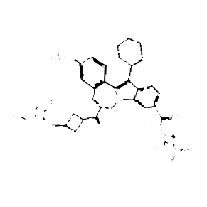 COc1ccc2c(c1)C=C(C(=O)C1CC(OP(=O)(OC(C)(C)C)OC(C)(C)C)C1)Cn1c-2c(C2CCCCC2)c2ccc(C(=O)NS(=O)(=O)N(C)C)cc21